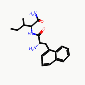 CCC(C)[C@H](NC(=O)[C@@H](N)Cc1cccc2ccccc12)C(N)=O